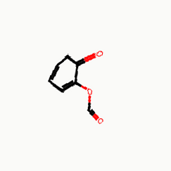 O=COC1=CC=CCC1=O